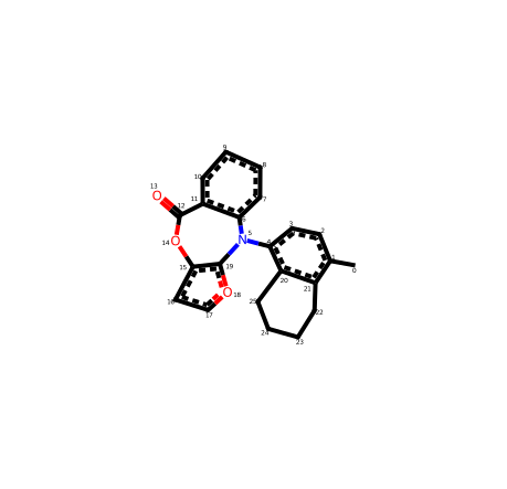 Cc1ccc(N2c3ccccc3C(=O)Oc3ccoc32)c2c1CCCC2